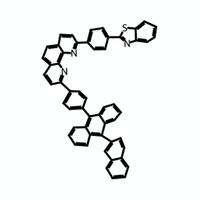 c1ccc2cc(-c3c4ccccc4c(-c4ccc(-c5ccc6ccc7ccc(-c8ccc(-c9nc%10ccccc%10s9)cc8)nc7c6n5)cc4)c4ccccc34)ccc2c1